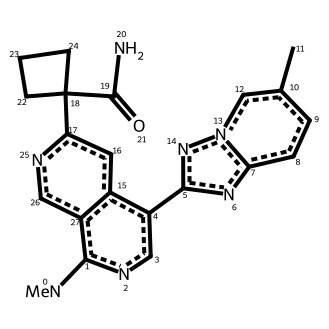 CNc1ncc(-c2nc3ccc(C)cn3n2)c2cc(C3(C(N)=O)CCC3)ncc12